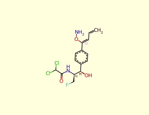 C=C/C=C(\ON)c1ccc([C@@H](O)[C@@H](CF)NC(=O)C(Cl)Cl)cc1